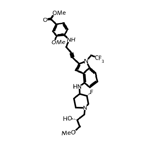 COC[C@H](O)CN1CCC(Nc2cccc3c2cc(C#CCNc2ccc(C(=O)OC)cc2OC)n3CC(F)(F)F)[C@H](F)C1